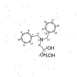 Cl.OC(O)CN(Cc1ccccc1)Cc1ccccc1